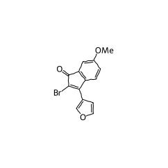 COc1ccc2c(c1)C(=O)C(Br)=C2c1ccoc1